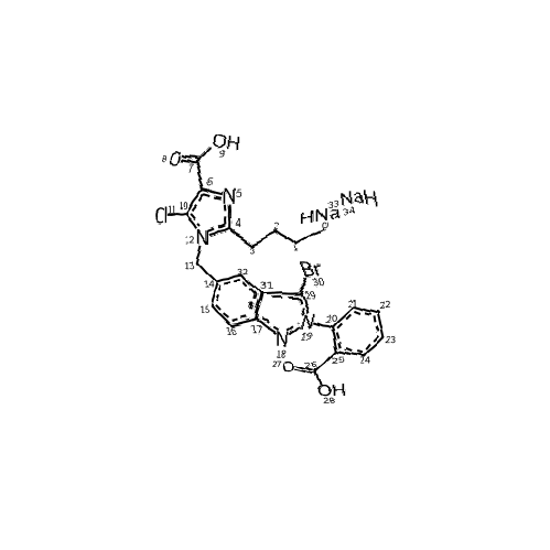 CCCCc1nc(C(=O)O)c(Cl)n1Cc1ccc2nn(-c3ccccc3C(=O)O)c(Br)c2c1.[NaH].[NaH]